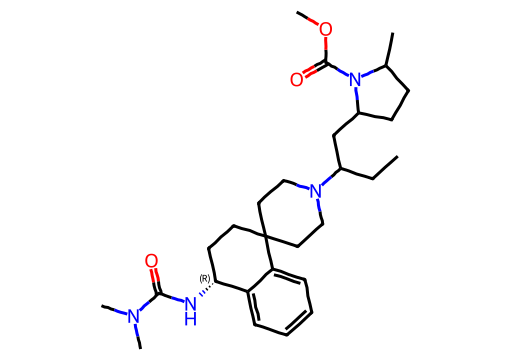 CCC(CC1CCC(C)N1C(=O)OC)N1CCC2(CC[C@@H](NC(=O)N(C)C)c3ccccc32)CC1